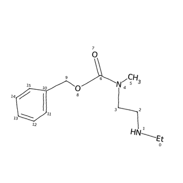 CCNCCN(C)C(=O)OCc1ccccc1